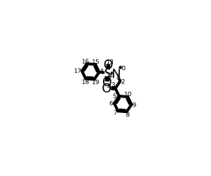 CN(CC(=O)c1ccccc1)S(=O)(=O)c1ccccc1